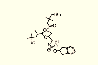 CCOP(=O)(OCC(COC(=O)CC(C)(C)CC(C)(C)C)OC(=O)C(C)CC(C)(C)CC)OC1Cc2ccccc2C1